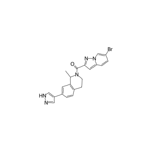 CC1c2cc(-c3cn[nH]c3)ccc2CCN1C(=O)c1cc2ccc(Br)cn2n1